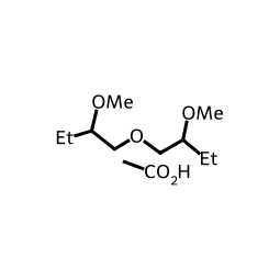 CC(=O)O.CCC(COCC(CC)OC)OC